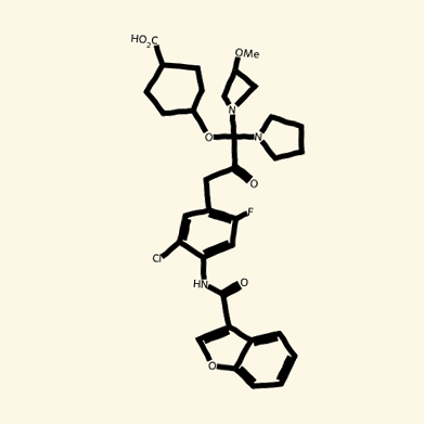 COC1CN(C(OC2CCC(C(=O)O)CC2)(C(=O)Cc2cc(Cl)c(NC(=O)c3coc4ccccc34)cc2F)N2CCCC2)C1